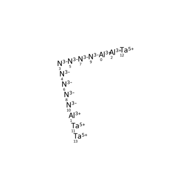 [Al+3].[Al+3].[Al+3].[N-3].[N-3].[N-3].[N-3].[N-3].[N-3].[N-3].[N-3].[Ta+5].[Ta+5].[Ta+5]